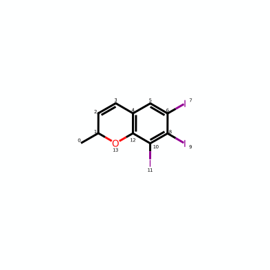 CC1C=Cc2cc(I)c(I)c(I)c2O1